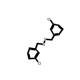 Clc1cccc(CSSCc2cccc(Cl)c2)c1